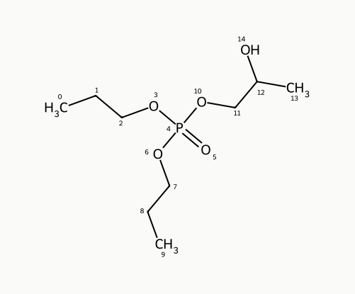 CCCOP(=O)(OCCC)OCC(C)O